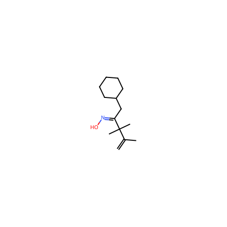 C=C(C)C(C)(C)C(CC1CCCCC1)=NO